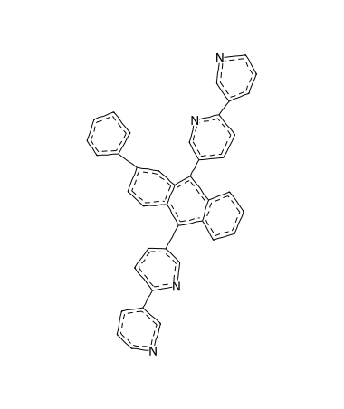 c1ccc(-c2ccc3c(-c4ccc(-c5cccnc5)nc4)c4ccccc4c(-c4ccc(-c5cccnc5)nc4)c3c2)cc1